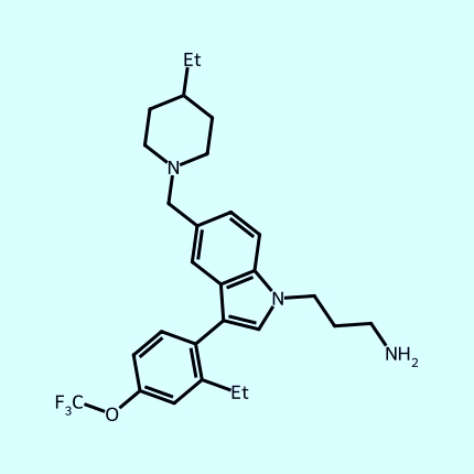 CCc1cc(OC(F)(F)F)ccc1-c1cn(CCCN)c2ccc(CN3CCC(CC)CC3)cc12